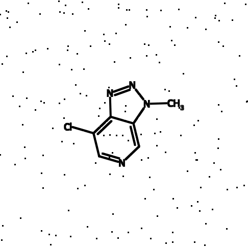 Cn1nnc2c(Cl)cncc21